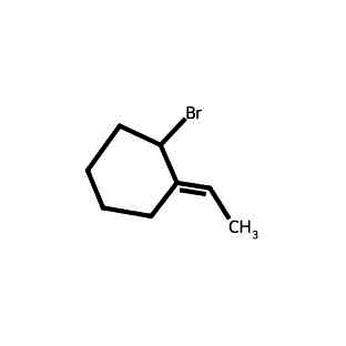 CC=C1CCCCC1Br